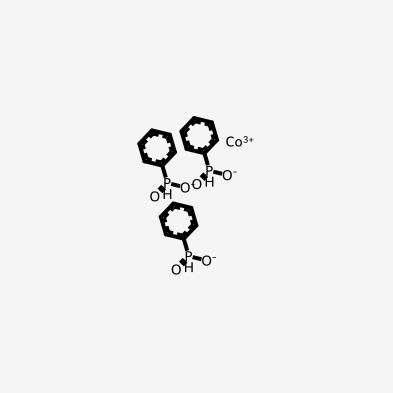 O=[PH]([O-])c1ccccc1.O=[PH]([O-])c1ccccc1.O=[PH]([O-])c1ccccc1.[Co+3]